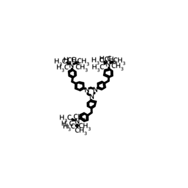 CC(C)(C)N(c1ccc(Cc2ccc(N3CN(c4ccc(Cc5ccc(N(C(C)(C)C)C(C)(C)C)cc5)cc4)CN(c4ccc(Cc5ccc(N(C(C)(C)C)C(C)(C)C)cc5)cc4)C3)cc2)cc1)C(C)(C)C